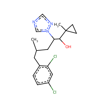 CC(Cc1ccc(Cl)cc1Cl)CC(C(O)C1(C)CC1)n1cncn1